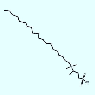 CCCCCCCCCCCCCCCCCCCC[N+](C)(C)C(C)CCS(=O)(=O)O